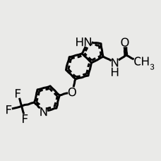 CC(=O)Nc1c[nH]c2ccc(Oc3ccc(C(F)(F)F)nc3)cc12